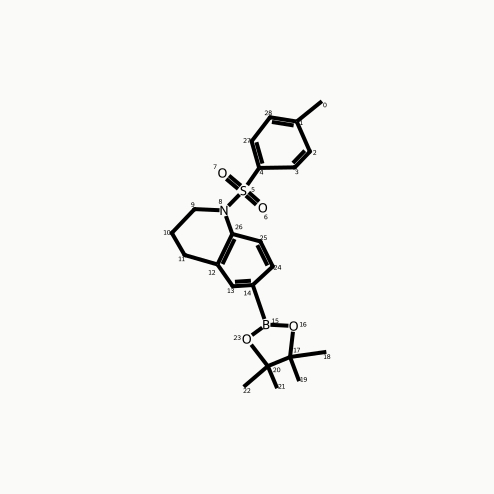 Cc1ccc(S(=O)(=O)N2CCCc3cc(B4OC(C)(C)C(C)(C)O4)ccc32)cc1